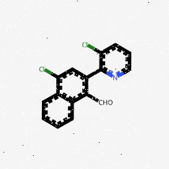 O=Cc1c(-c2ncccc2Cl)cc(Cl)c2ccccc12